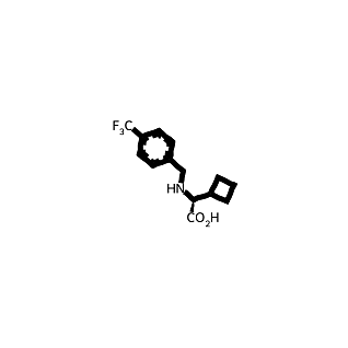 O=C(O)[C@@H](NCc1ccc(C(F)(F)F)cc1)C1CCC1